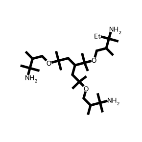 CCC(C)(N)C(C)COC(C)(C)C(CC(C)(C)OCC(C)C(C)(C)N)CC(C)(C)OCC(C)C(C)(C)N